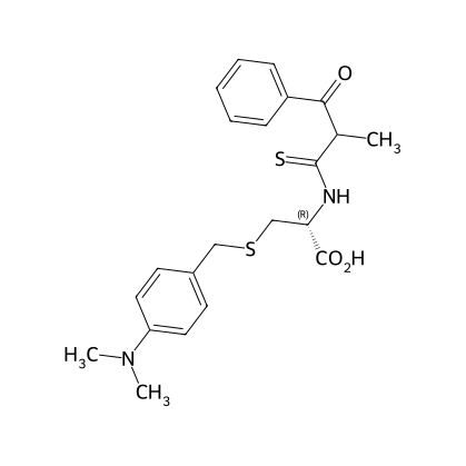 CC(C(=O)c1ccccc1)C(=S)N[C@@H](CSCc1ccc(N(C)C)cc1)C(=O)O